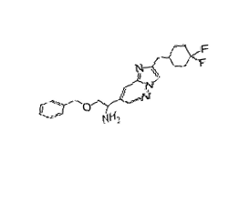 NC(COCc1ccccc1)c1cnn2cc(CC3CCC(F)(F)CC3)nc2c1